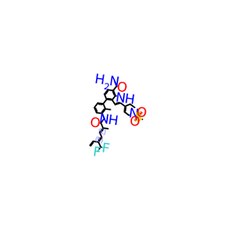 C=C/C(=C\C=C(/C)C(=O)Nc1cccc(-c2ccc(C(N)=O)c3[nH]c(C4=CCN(S(C)(=O)=O)CC4)cc23)c1C)C(F)F